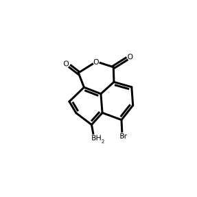 Bc1ccc2c3c(ccc(Br)c13)C(=O)OC2=O